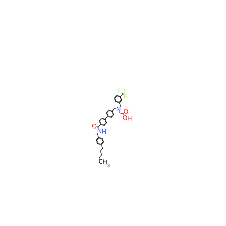 CCCCCc1ccc(CNC(=O)c2ccc(-c3ccc(CN(CC(=O)O)Cc4cccc(C(F)(F)F)c4)cc3)cc2)cc1